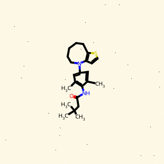 Cc1cc(N2CCCCCc3sccc32)cc(C)c1NC(=O)CC(C)(C)C